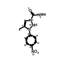 CNC(=O)N1C=C(C)N(c2ccc([N+](=O)[O-])cc2)N1